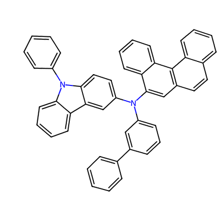 c1ccc(-c2cccc(N(c3ccc4c(c3)c3ccccc3n4-c3ccccc3)c3cc4ccc5ccccc5c4c4ccccc34)c2)cc1